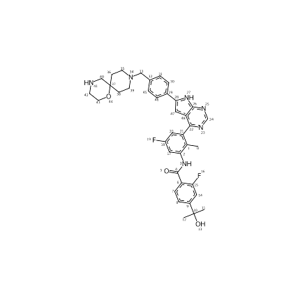 Cc1c(NC(=O)c2ccc(C(C)(C)O)cc2F)cc(F)cc1-c1ncnc2[nH]c(-c3ccc(CN4CCC5(CC4)CNCCO5)cc3)cc12